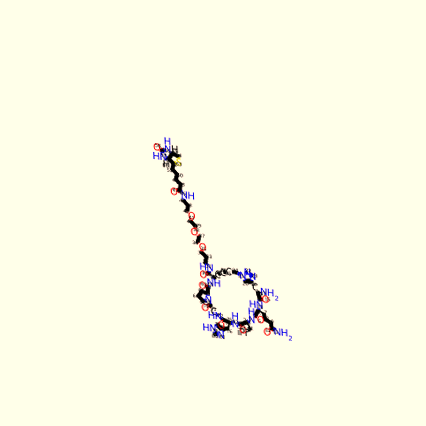 CC(C)C[C@@H]1NC(=O)[C@H](CCCC(N)=O)NC(=O)[C@@H](N)Cc2cn(nn2)CCCC[C@@H](C(=O)NCCCOCCOCCOCCCNC(=O)CCCCC2SC[C@H]3NC(=O)N[C@@H]23)NC(=O)C2CCCN2C(=O)CNC(=O)[C@H](Cc2c[nH]cn2)NC1=O